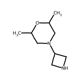 CC1CN(C2CNC2)CC(C)O1